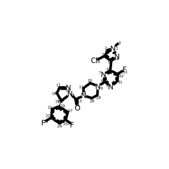 Cn1cc(Cl)c(-c2nc(N3CCN(C(=O)N4N=CC[C@H]4c4cc(F)cc(F)c4)CC3)ncc2F)n1